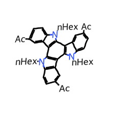 CCCCCCn1c2ccc(C(C)=O)cc2c2c1c1c3cc(C(C)=O)ccc3n(CCCCCC)c1c1c3cc(C(C)=O)ccc3n(CCCCCC)c21